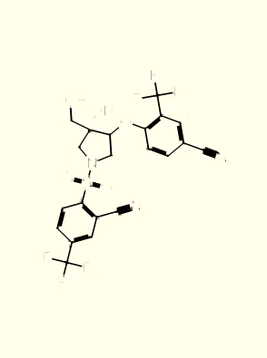 N#Cc1ccc(OC2CN(S(=O)(=O)c3ccc(C(F)(F)F)cc3C#N)C[C@@]2(O)CO)c(C(F)(F)F)c1